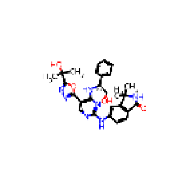 CC(C)(O)c1nnc(-c2cnc(Nc3ccc4c(c3)C(C)(C)NC4=O)nc2N[C@H](CO)c2ccccc2)o1